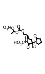 CCC(CC=CCOC(=O)OC(C)O[N+](=O)[O-])(C(=O)NC(=O)O)N1CCCC1=O